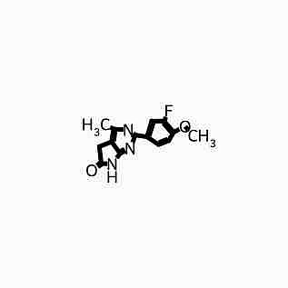 COc1ccc(-c2nc(C)c3c(n2)NC(=O)C3)cc1F